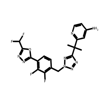 CC(C)(c1cc(N)ccn1)c1nnn(Cc2ccc(-c3nnc(C(F)F)o3)c(F)c2F)n1